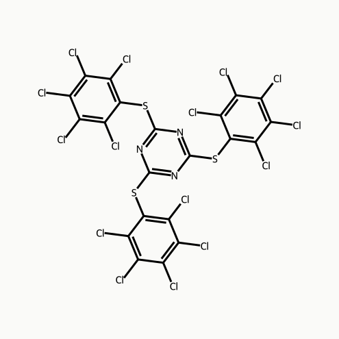 Clc1c(Cl)c(Cl)c(Sc2nc(Sc3c(Cl)c(Cl)c(Cl)c(Cl)c3Cl)nc(Sc3c(Cl)c(Cl)c(Cl)c(Cl)c3Cl)n2)c(Cl)c1Cl